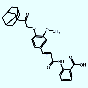 COc1cc(/C=C/C(=O)Nc2ccccc2C(=O)O)ccc1OCC(=O)C12CC3CC(CC(C3)C1)C2